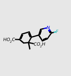 CC1(C(=O)O)CC(C(=O)O)=CC=C1c1ccc(F)nc1